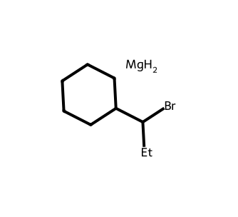 CCC(Br)C1CCCCC1.[MgH2]